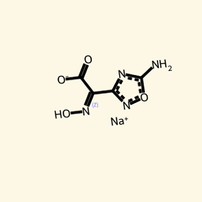 Nc1nc(/C(=N/O)C(=O)[O-])no1.[Na+]